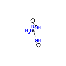 N[C@@H](CCCCNCc1ccccc1)c1nc(-c2ccccc2)c[nH]1